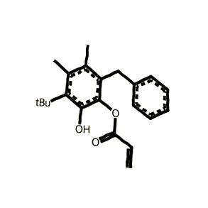 C=CC(=O)Oc1c(O)c(C(C)(C)C)c(C)c(C)c1Cc1ccccc1